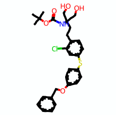 CC(C)(C)OC(=O)NC(CO)(CO)CCc1ccc(Sc2ccc(OCc3ccccc3)cc2)cc1Cl